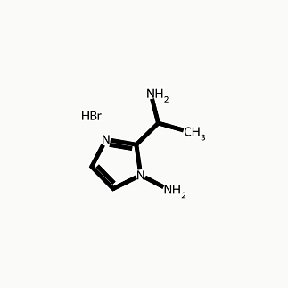 Br.CC(N)c1nccn1N